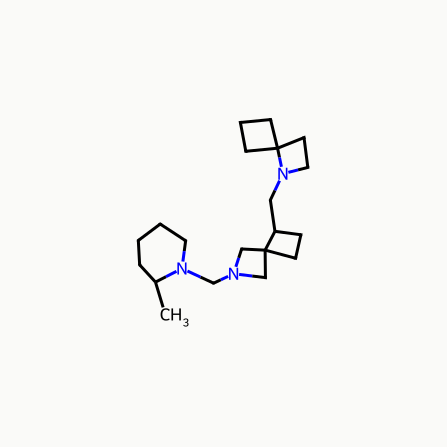 CC1CCCCN1CN1CC2(CCC2CN2CCC23CCC3)C1